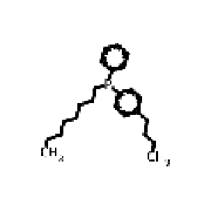 CCCCCCCCP(c1ccccc1)c1ccc(CCCC)cc1